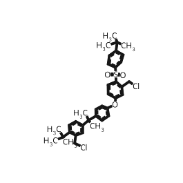 CC(C)(C)c1ccc(S(=O)(=O)c2ccc(Oc3ccc(C(C)(C)c4ccc(C(C)(C)C)c(CCl)c4)cc3)cc2CCl)cc1